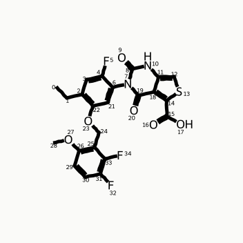 CCc1cc(F)c(-n2c(=O)[nH]c3csc(C(=O)O)c3c2=O)cc1OCc1c(OC)ccc(F)c1F